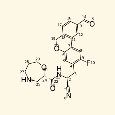 N#C[C@H](Cc1cc2c(cc1F)-c1cc(C=O)ccc1CO2)NC(=O)[C@@H]1CNCCCO1